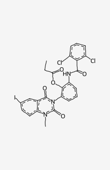 CCC(=O)Oc1c(NC(=O)c2c(Cl)cccc2Cl)cccc1-n1c(=O)c2cc(I)ccc2n(C)c1=O